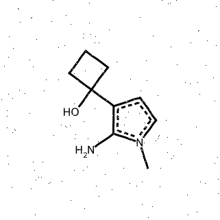 Cn1ccc(C2(O)CCC2)c1N